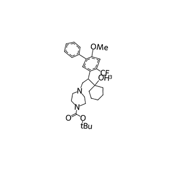 COc1cc(C(F)(F)F)c(C(CN2CCN(C(=O)OC(C)(C)C)CC2)C2(O)CCCCC2)cc1-c1ccccc1